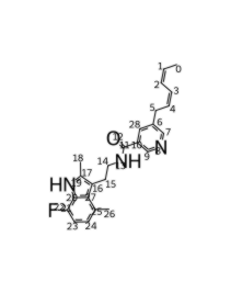 C/C=C\C=C/Cc1cncc(C(=O)NCCc2c(C)[nH]c3c(F)ccc(C)c23)c1